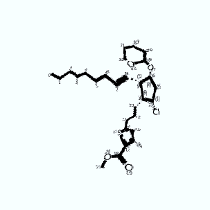 CCCCCCCC=C[C@H]1[C@@H](CCCc2ccc(C(=O)OC)s2)[C@@H](Cl)C[C@H]1OC1CCCCO1